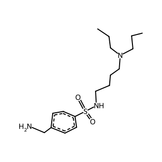 CCCN(CCC)CCCCNS(=O)(=O)c1ccc(CN)cc1